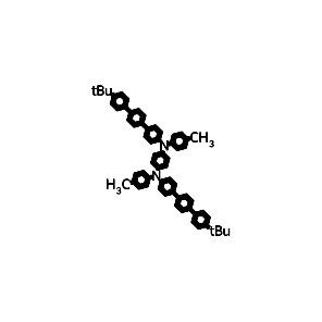 Cc1ccc(N(c2ccc(-c3ccc(-c4ccc(C(C)(C)C)cc4)cc3)cc2)c2ccc(N(c3ccc(C)cc3)c3ccc(-c4ccc(-c5ccc(C(C)(C)C)cc5)cc4)cc3)cc2)cc1